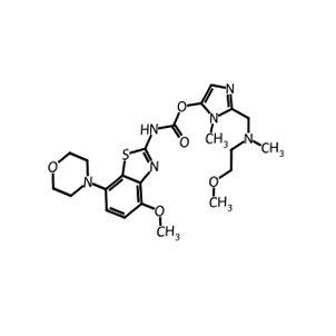 COCCN(C)Cc1ncc(OC(=O)Nc2nc3c(OC)ccc(N4CCOCC4)c3s2)n1C